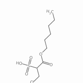 CCCCCCOC(=O)C(CCl)S(=O)(=O)O